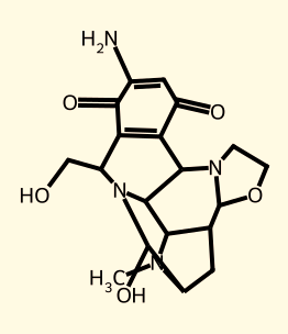 CN1C2CC3C1C1C(C4=C(C(=O)C(N)=CC4=O)C(CO)N1C2O)N1CCOC31